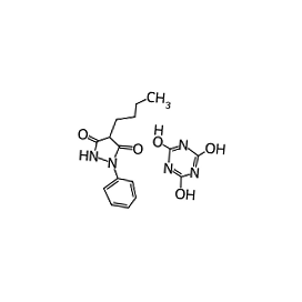 CCCCC1C(=O)NN(c2ccccc2)C1=O.Oc1nc(O)nc(O)n1